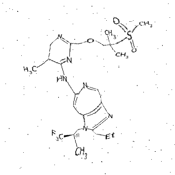 CCc1nc2cnc(NC3=NC(OCC(C)(C)S(C)(=O)=O)=NCC3C)cc2n1[C@@H](C)C(F)(F)F